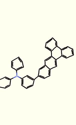 c1ccc(N(c2ccccc2)c2cccc(-c3ccc4cc5c6ccccc6c6ccccc6c5cc4c3)c2)cc1